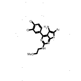 COCCNc1nc(-c2ccc(Cl)c(Cl)c2)c2c(N)c(C(C)=O)sc2n1